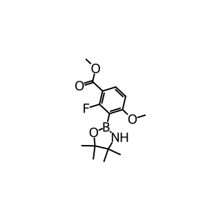 COC(=O)c1ccc(OC)c(B2NC(C)(C)C(C)(C)O2)c1F